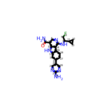 NC(=O)c1cnc(NC(CF)C2CC2)c2c1[nH]c1cc(-c3cnc(N)nc3)ccc12